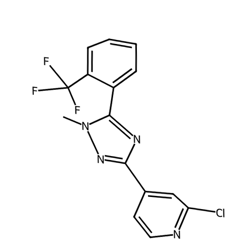 Cn1nc(-c2ccnc(Cl)c2)nc1-c1ccccc1C(F)(F)F